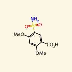 COc1cc(OC)c(S(N)(=O)=O)cc1C(=O)O